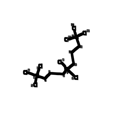 Cl[Si](Cl)(Cl)CCC[Si](Cl)(Cl)CCC[Si](Cl)(Cl)Cl